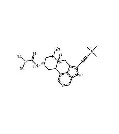 CCCN1C[C@@H](NC(=O)N(CC)CC)CC2c3cccc4[nH]c(C#C[Si](C)(C)C)c(c34)C[C@H]21